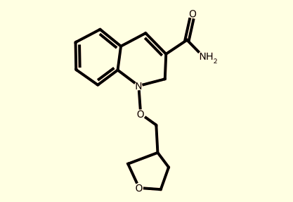 NC(=O)C1=Cc2ccccc2N(OCC2CCOC2)C1